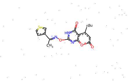 CCCCc1cc(=O)oc2nc(O/N=C(\C)c3ccsc3)[nH]c(=O)c12